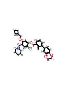 Cc1c(COc2cc(OCC3CCC3)c(CN3CCCCC3)cc2Cl)cccc1-c1ccc2c(c1)OCCO2